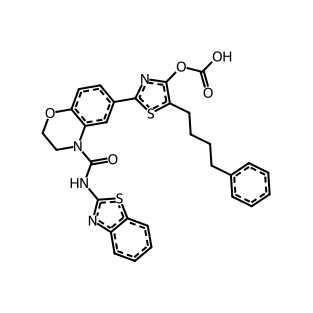 O=C(O)Oc1nc(-c2ccc3c(c2)N(C(=O)Nc2nc4ccccc4s2)CCO3)sc1CCCCc1ccccc1